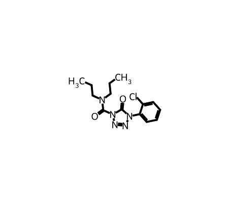 CCCN(CCC)C(=O)n1nnn(-c2ccccc2Cl)c1=O